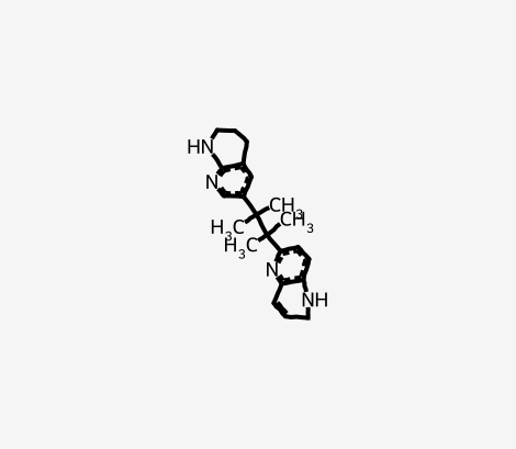 CC(C)(c1cnc2c(c1)CCCN2)C(C)(C)c1ccc2c(n1)C=CCN2